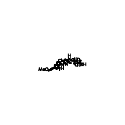 COCC#Cc1cc(F)c2c(c1)CC[C@@H]2Nc1nc2nc(O[C@@H]3CO[C@H]4[C@@H]3OC[C@H]4O)[nH]c2cc1Cl